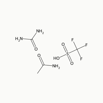 CC(N)=O.NC(N)=O.O=S(=O)(O)C(F)(F)F